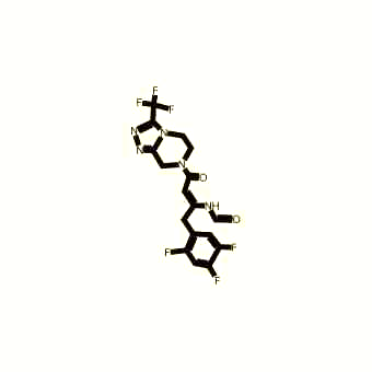 O=CN/C(=C\C(=O)N1CCn2c(nnc2C(F)(F)F)C1)Cc1cc(F)c(F)cc1F